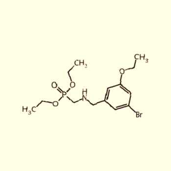 CCOc1cc(Br)cc(CNCP(=O)(OCC)OCC)c1